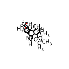 CC1=C(C(=O)OC(C)C)C(c2c[nH]nc2-c2ccc(C(F)(F)F)cc2)C(C(=O)OC(C)C)=C(C)N1